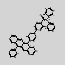 c1ccc(-c2c3ccccc3cc3c(-c4ccc(-c5ccc6c(c5)c5ccccc5n5c7ccccc7nc65)cc4)c4ccccc4cc23)cc1